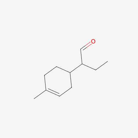 CCC(C=O)C1CC=C(C)CC1